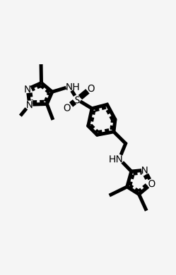 Cc1nn(C)c(C)c1NS(=O)(=O)c1ccc(CNc2noc(C)c2C)cc1